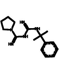 CC(C)(NC(=N)NC(=N)N1CCCC1)c1ccccc1